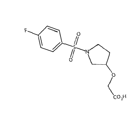 O=C(O)COC1CCN(S(=O)(=O)c2ccc(F)cc2)C1